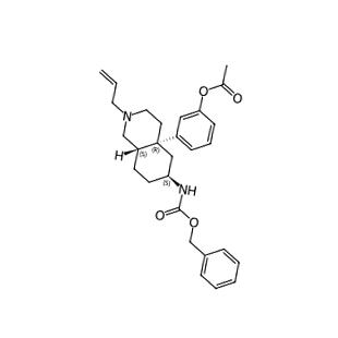 C=CCN1CC[C@@]2(c3cccc(OC(C)=O)c3)C[C@@H](NC(=O)OCc3ccccc3)CC[C@@H]2C1